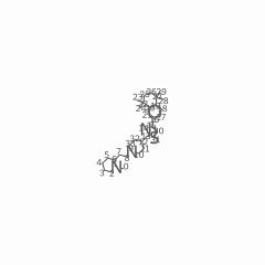 CN1CCCCC1CCN1CCC(c2nc(-c3ccc4c(c3)C(C)(C)CCC4(C)C)cs2)CC1